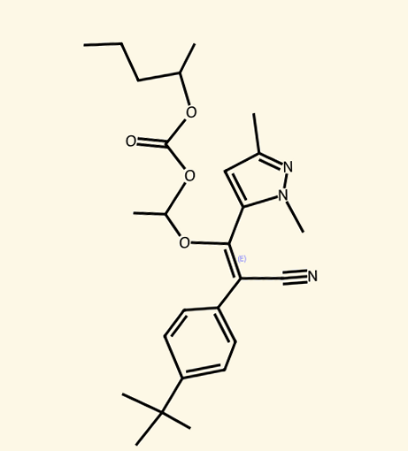 CCCC(C)OC(=O)OC(C)O/C(=C(/C#N)c1ccc(C(C)(C)C)cc1)c1cc(C)nn1C